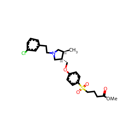 COC(=O)CCCS(=O)(=O)c1ccc(OC[C@@H]2CN(CCc3cccc(Cl)c3)C[C@H]2C)cc1